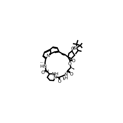 CC(C)[Si]1(OC2CCC3(/C=C/c4ccc5ccc(nc5c4)[C@@H](C)NC(=O)[C@@H]4CCCN(N4)C(=O)[C@H](C)NC(=O)[C@H](C)OC3=O)C2)C(C)(C)C1(C)C